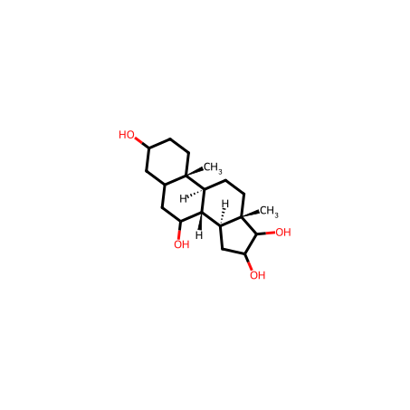 C[C@]12CCC(O)CC1CC(O)[C@@H]1[C@@H]2CC[C@]2(C)C(O)C(O)C[C@@H]12